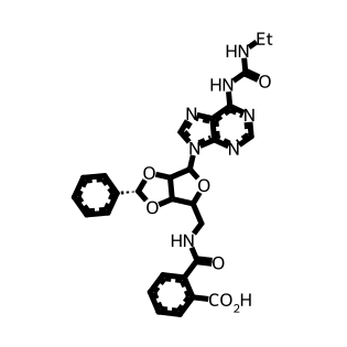 CCNC(=O)Nc1ncnc2c1ncn2C1OC(CNC(=O)c2ccccc2C(=O)O)C2O[C@H](c3ccccc3)OC21